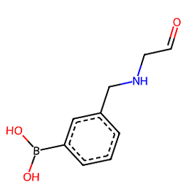 O=CCNCc1cccc(B(O)O)c1